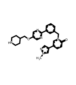 Cn1cc(-c2ccc(=O)n(Cc3cccc(-c4ncc(OCC5CCNCC5)cn4)c3)c2)cn1